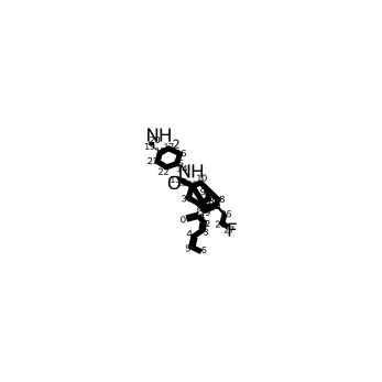 C=C(/C=C\C=C/C)[C@]12CC3CC(C(=O)N[C@H]4CC[C@@H](CN)CC4)(C[C@](CCF)(C3)C1)C2